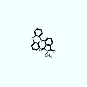 CN1C(=O)c2cccc(N3c4ccccc4Oc4ccccc43)c2C1=O